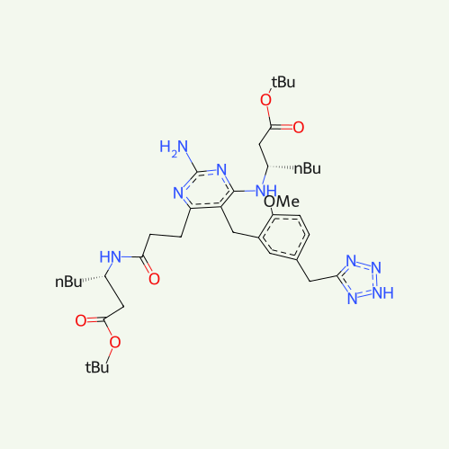 CCCC[C@@H](CC(=O)OC(C)(C)C)NC(=O)CCc1nc(N)nc(N[C@@H](CCCC)CC(=O)OC(C)(C)C)c1Cc1cc(Cc2nn[nH]n2)ccc1OC